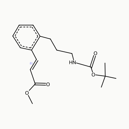 COC(=O)/C=C/c1ccccc1CCCNC(=O)OC(C)(C)C